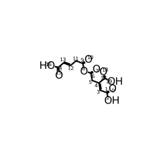 O=C(O)C=C(CC(=O)OC(=O)C/C=C/C(=O)O)C(=O)O